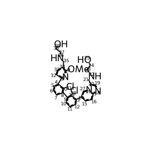 COc1nc(-c2cccc(-c3cccc(-c4ccc5ncc(CNCCO)n5c4)c3Cl)c2Cl)ccc1CNCCO